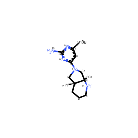 CCCCc1cc(N2C[C@H]3CCCN[C@H]3C2)nc(N)n1